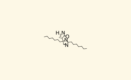 CCCCCCCC1=NC(CCCCCCC)(C(C)C(N)=O)C=N1